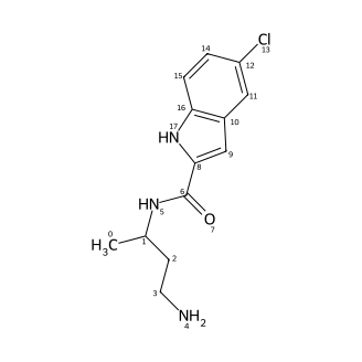 CC(CCN)NC(=O)c1cc2cc(Cl)ccc2[nH]1